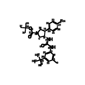 Cc1cc(NC(=O)N[C@@H]2CN(C(=O)OC(C)(C)C)C[C@H]2c2ccc(F)cc2)cc(C(F)(F)F)c1